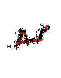 C=C1CC2[C@H](O)N(C(=O)OCc3ccc(NC(=O)[C@H](C)NC(=O)[C@H](CC(N)=O)NC(=O)OCCOCCOC)cc3)c3cc(OCCCOc4cc5c(cc4OC)C(=O)N4CC(=C)C[C@H]4[C@H](O)N5C(=O)OCc4ccc(NC(=O)[C@H](C)NC(=O)[C@@H](NC(=O)OCCOCCNS(=O)(=O)NC(=O)OC[C@@H]5[C@@H]6CC/C=C\CC[C@@H]65)C(C)C)cc4)c(OC)cc3C(=O)N2C1